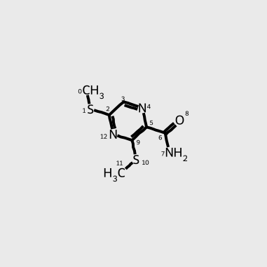 CSc1cnc(C(N)=O)c(SC)n1